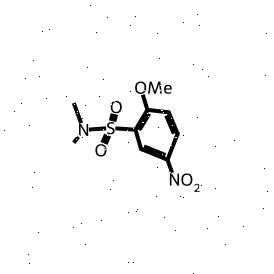 COc1ccc([N+](=O)[O-])cc1S(=O)(=O)N(C)C